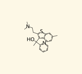 Cc1ccc2c(C(C)(O)c3ccccn3)c(CCN(C)C)sc2c1